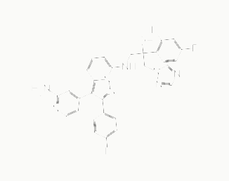 Nc1cc(-c2c(-c3ccc(F)cc3)nn3c(NCC(O)(Cn4cncn4)c4ccc(F)cc4F)cccc23)ccn1